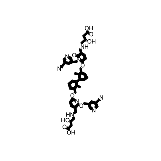 Cc1c(COc2ccc(CNC[C@@H](O)CC(=O)O)c(OCc3cncc(C#N)c3)n2)cccc1-c1cccc(COc2ccc(CNC[C@@H](O)CC(=O)O)c(=O)n2Cc2cncc(C#N)c2)c1C